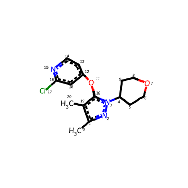 Cc1nn(C2CCOCC2)c(Oc2ccnc(Cl)c2)c1C